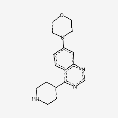 c1nc(C2CCNCC2)c2ccc(N3CCOCC3)cc2n1